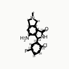 CN1Cc2cc(N)c3c(c2C1)C(=O)NC3c1cc(F)ccc1Cl